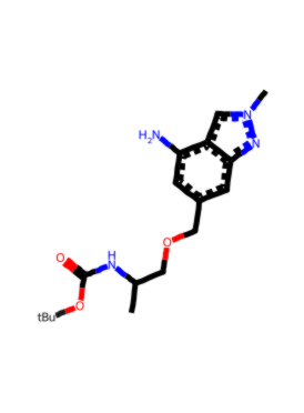 CC(COCc1cc(N)c2cn(C)nc2c1)NC(=O)OC(C)(C)C